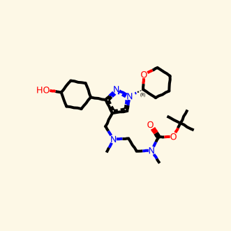 CN(CCN(C)C(=O)OC(C)(C)C)Cc1cn([C@H]2CCCCO2)nc1C1CCC(O)CC1